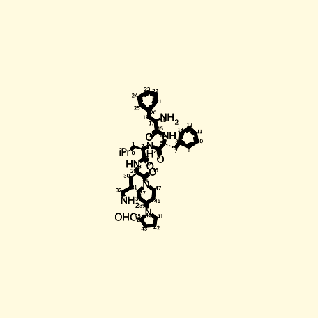 CC(C)C[C@@H](NC(=O)[C@@H](Cc1ccccc1)NC(=O)[C@H](N)Cc1ccccc1)C(=O)N[C@H](CCCN)C(=O)N1CCC(N2CCC[C@H]2C=O)CC1